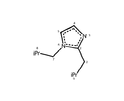 CC(C)Cc1nccn1CC(C)C